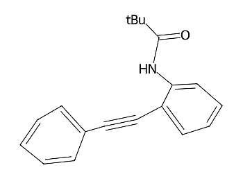 CC(C)(C)C(=O)Nc1ccccc1C#Cc1ccccc1